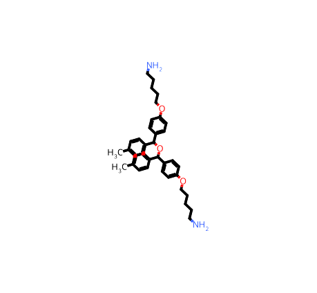 Cc1ccc(C(OC(c2ccc(C)cc2)c2ccc(OCCCCCN)cc2)c2ccc(OCCCCCN)cc2)cc1